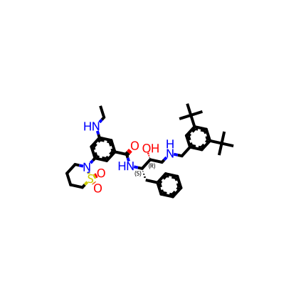 CCNc1cc(C(=O)N[C@@H](Cc2ccccc2)[C@H](O)CNCc2cc(C(C)(C)C)cc(C(C)(C)C)c2)cc(N2CCCCS2(=O)=O)c1